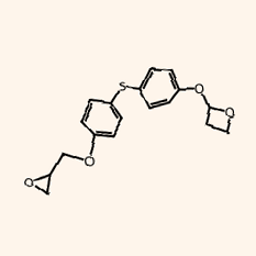 c1cc(Sc2ccc(OC3CCO3)cc2)ccc1OCC1CO1